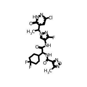 Cc1nonc1C(=O)NC(C(=O)Nc1cn(C(C)c2cc(Cl)n[nH]c2=O)nc1F)C1CCC(F)(F)CC1